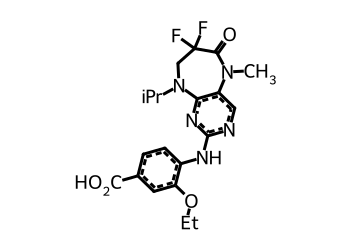 CCOc1cc(C(=O)O)ccc1Nc1ncc2c(n1)N(C(C)C)CC(F)(F)C(=O)N2C